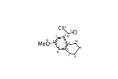 COc1ccc2c(c1)CCCC2.ClCCl